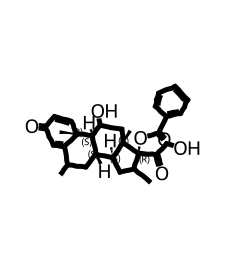 CC1C[C@@H]2[C@H](C(O)C[C@@]3(C)[C@H]2CC(C)[C@]3(OC(=O)c2ccccc2)C(=O)CO)[C@@]2(C)C=CC(=O)C=C12